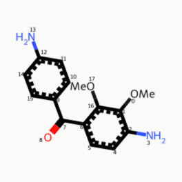 COc1c(N)ccc(C(=O)c2ccc(N)cc2)c1OC